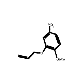 C=CCOc1cc([N+](=O)[O-])ccc1OC